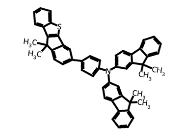 CC1(C)c2ccccc2-c2ccc(N(c3ccc(-c4ccc5c(c4)-c4sc6ccccc6c4C5(C)C)cc3)c3ccc4c(c3)C(C)(C)c3ccccc3-4)cc21